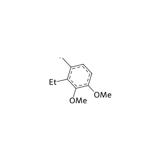 [CH2]c1ccc(OC)c(OC)c1CC